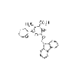 C[C@@H](OC1CCCCO1)[C@H](NC(=O)OCC1c2ccccc2-c2ccccc21)C(=O)O